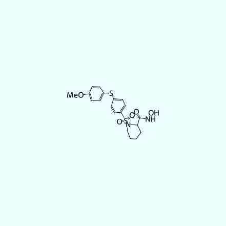 COc1ccc(Sc2ccc(S(=O)(=O)N3CCCCC3C(=O)NO)cc2)cc1